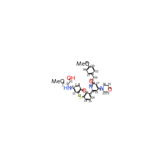 COC[C@H](CO)Nc1ccc2c(c1)Sc1cccc(-c3cc(N4CCOCC4)cc(OCc4ccc(OC)cc4)n3)c1O2